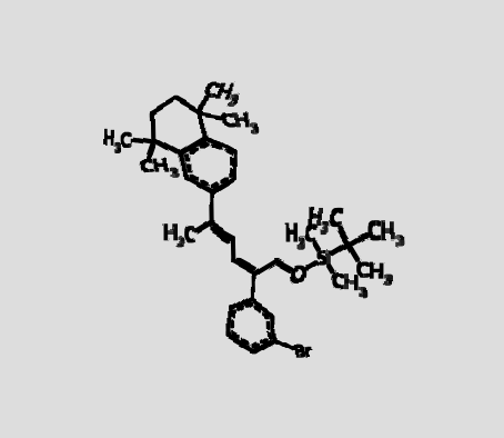 C/C(=C\C=C(/CO[Si](C)(C)C(C)(C)C)c1cccc(Br)c1)c1ccc2c(c1)C(C)(C)CCC2(C)C